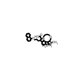 Cc1ccc2c(CCCOc3cccc4ccccc34)c(C(=O)O)n3c2c1-c1c(C)nn(C)c1COCCCC3